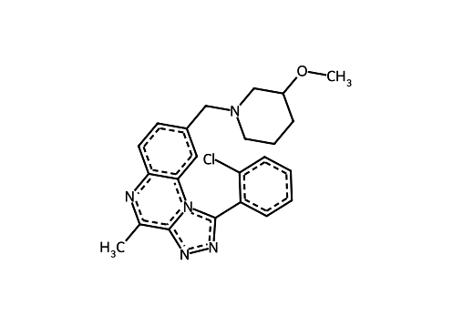 COC1CCCN(Cc2ccc3nc(C)c4nnc(-c5ccccc5Cl)n4c3c2)C1